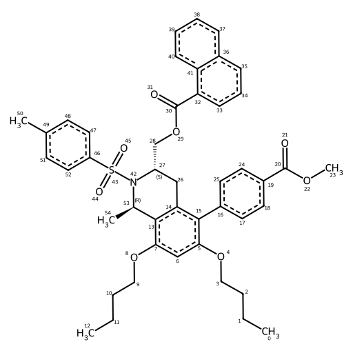 CCCCOc1cc(OCCCC)c2c(c1-c1ccc(C(=O)OC)cc1)C[C@@H](COC(=O)c1cccc3ccccc13)N(S(=O)(=O)c1ccc(C)cc1)[C@@H]2C